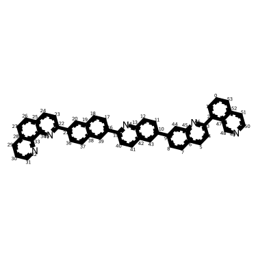 c1cc(-c2ccc3ccc(-c4ccc5nc(-c6ccc7cc(-c8ccc9ccc%10cccnc%10c9n8)ccc7c6)ccc5c4)cc3n2)c2cnccc2c1